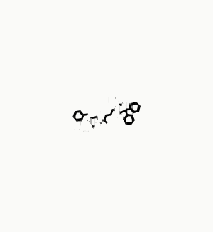 COC(=O)N[C@@H](Cc1ccccc1)C(=O)NC(C)CCCN1C(=N)NC(c2ccccc2)(c2ccccc2)C1=O